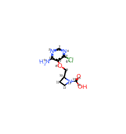 Nc1ncnc(Cl)c1OCC1CCN1C(=O)O